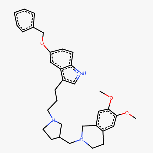 COc1cc2c(cc1OC)CN(CC1CCN(CCCc3c[nH]c4ccc(OCc5ccccc5)cc34)C1)CC2